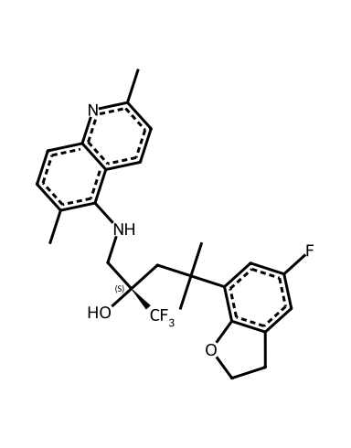 Cc1ccc2c(NC[C@@](O)(CC(C)(C)c3cc(F)cc4c3OCC4)C(F)(F)F)c(C)ccc2n1